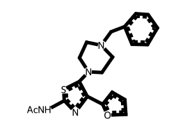 CC(=O)Nc1nc(-c2ccco2)c(N2CCN(Cc3ccccc3)CC2)s1